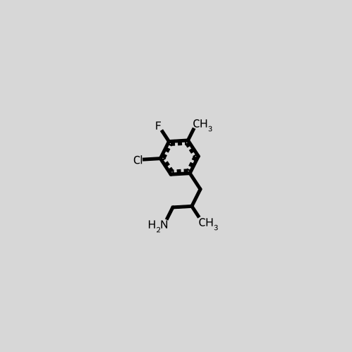 Cc1cc(CC(C)CN)cc(Cl)c1F